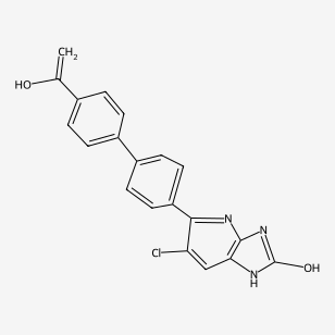 C=C(O)c1ccc(-c2ccc(-c3nc4nc(O)[nH]c4cc3Cl)cc2)cc1